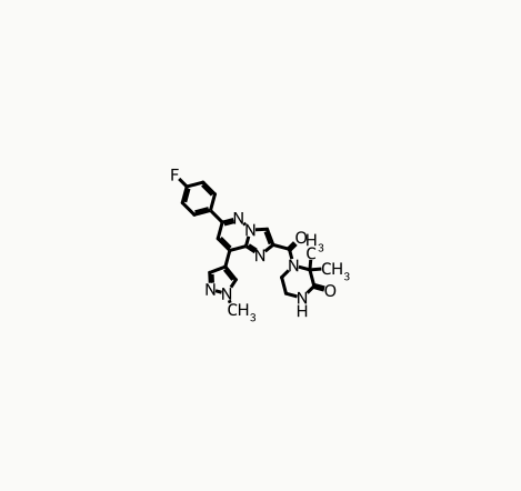 Cn1cc(-c2cc(-c3ccc(F)cc3)nn3cc(C(=O)N4CCNC(=O)C4(C)C)nc23)cn1